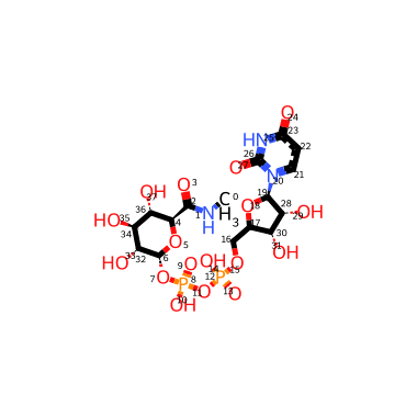 CNC(=O)[C@H]1O[C@H](OP(=O)(O)OP(=O)(O)OCC2O[C@@H](n3ccc(=O)[nH]c3=O)[C@H](O)[C@@H]2O)[C@H](O)[C@@H](O)[C@@H]1O